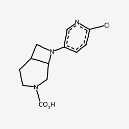 O=C(O)N1CCC2CN(c3ccc(Cl)nc3)C2C1